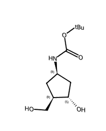 CC(C)(C)OC(=O)N[C@@H]1C[C@H](CO)[C@@H](O)C1